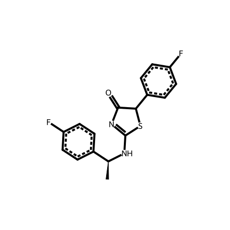 C[C@H](NC1=NC(=O)C(c2ccc(F)cc2)S1)c1ccc(F)cc1